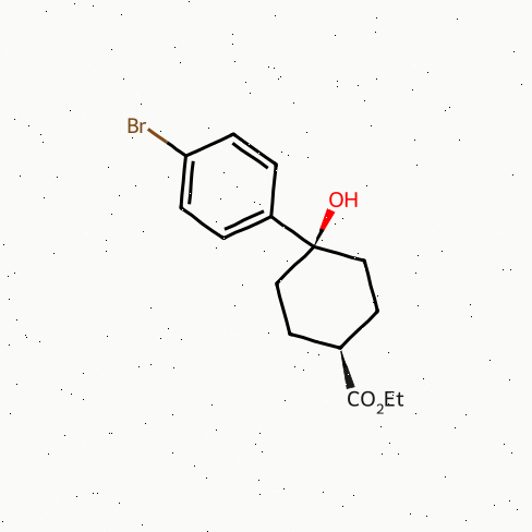 CCOC(=O)[C@H]1CC[C@](O)(c2ccc(Br)cc2)CC1